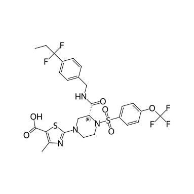 CCC(F)(F)c1ccc(CNC(=O)[C@H]2CN(c3nc(C)c(C(=O)O)s3)CCN2S(=O)(=O)c2ccc(OC(F)(F)F)cc2)cc1